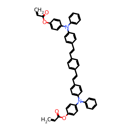 C=CC(=O)Oc1ccc(N(c2ccccc2)c2ccc(/C=C/c3ccc(/C=C/c4ccc(N(c5ccccc5)c5ccc(OC(=O)C=C)cc5)cc4)cc3)cc2)cc1